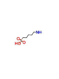 [NH]CCCCCS(=O)(=O)O